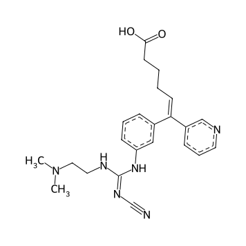 CN(C)CCN/C(=N/C#N)Nc1cccc(/C(=C\CCCC(=O)O)c2cccnc2)c1